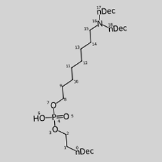 CCCCCCCCCCCCOP(=O)(O)OCCCCCCCCN(CCCCCCCCCC)CCCCCCCCCC